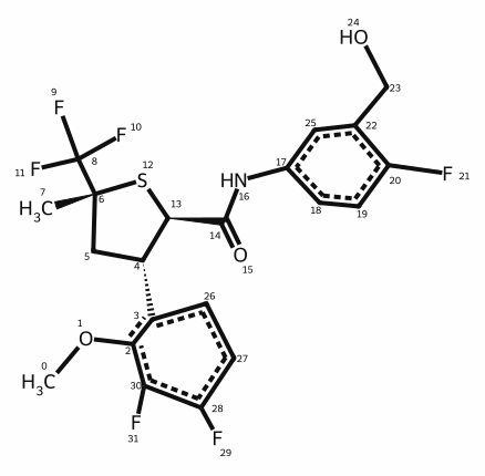 COc1c([C@@H]2C[C@](C)(C(F)(F)F)S[C@H]2C(=O)Nc2ccc(F)c(CO)c2)ccc(F)c1F